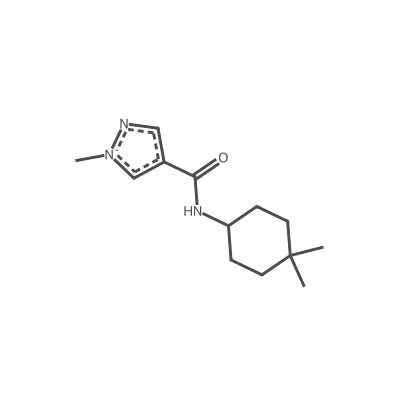 Cn1cc(C(=O)NC2CCC(C)(C)CC2)cn1